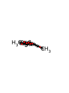 CCCCCCCCCCCCc1ccc2c(c1)sc1cc3c(cc12)sc1cc(-c2ccc(C)s2)ccc13